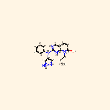 CC(C)(C)CCn1c(=O)ccc2cnc(N(c3ccccc3)c3cn[nH]c3)nc21